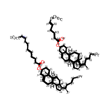 CCCCCCCC/C=C\CCCCCCCC(=O)O[C@H]1CC[C@@]2(C)C(=CC[C@H]3[C@@H]4CC[C@H]([C@H](C)CCCC(C)C)[C@@]4(C)CC[C@@H]32)C1.CCCCCCCCCCCCCCCC(=O)O[C@H]1CC[C@@]2(C)C(=CC[C@H]3[C@@H]4CC[C@H]([C@H](C)CCCC(C)C)[C@@]4(C)CC[C@@H]32)C1